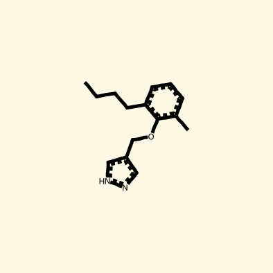 CCCCc1cccc(C)c1OCc1cn[nH]c1